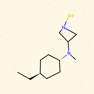 CC[C@H]1CC[C@H](N(C)C2CN(S)C2)CC1